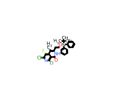 Cc1c(CCO[Si](c2ccccc2)(c2ccccc2)C(C)(C)C)[nH]c(=O)c2c(Cl)nc(Cl)c(F)c12